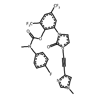 CN(C(=O)Oc1c(-n2ccn(C#Cc3cn(C)cn3)c2=O)cc(C(F)(F)F)cc1C(F)(F)F)c1ccc(F)cc1